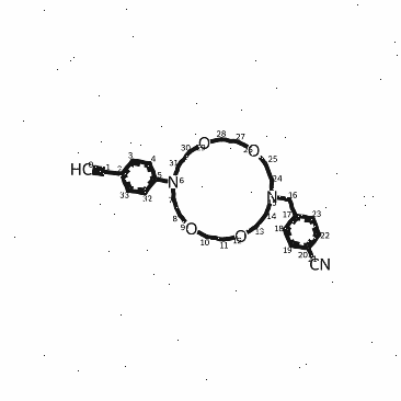 C#Cc1ccc(N2CCOCCOCCN(Cc3ccc(C#N)cc3)CCOCCOCC2)cc1